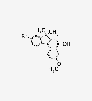 COc1ccc2c3c(cc(O)c2c1)C(C)(C)c1cc(Br)ccc1-3